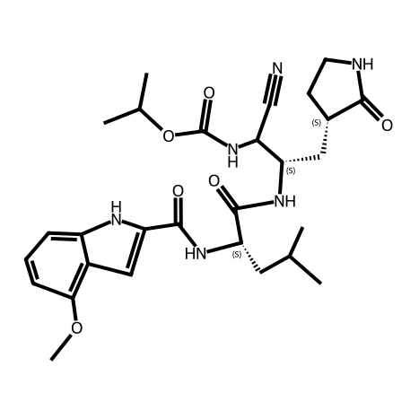 COc1cccc2[nH]c(C(=O)N[C@@H](CC(C)C)C(=O)N[C@@H](C[C@@H]3CCNC3=O)C(C#N)NC(=O)OC(C)C)cc12